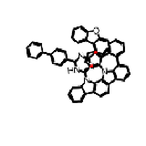 c1ccc(-c2ccc(C3N=C(c4cccc5oc6ccccc6c45)N=C(n4c5ccccc5c5ccc6c7cccc8c7n(c6c54)-c4ccccc4-c4ccccc4-8)N3)cc2)cc1